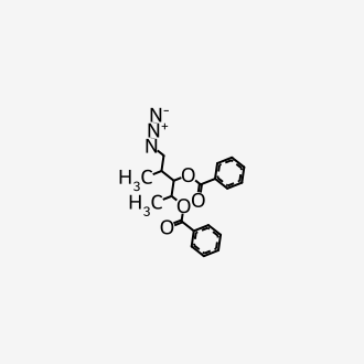 CC(CN=[N+]=[N-])C(OC(=O)c1ccccc1)C(C)OC(=O)c1ccccc1